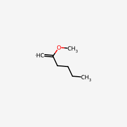 [CH]=C(CCCC)OC